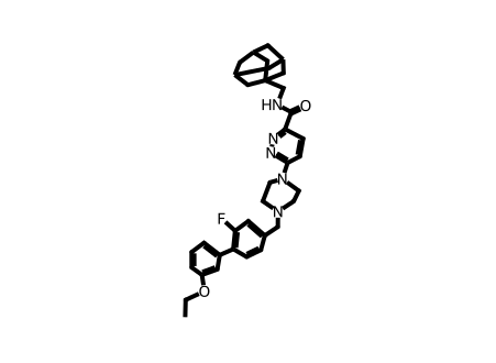 CCOc1cccc(-c2ccc(CN3CCN(c4ccc(C(=O)NCC56CC7CC(CC(C7)C5)C6)nn4)CC3)cc2F)c1